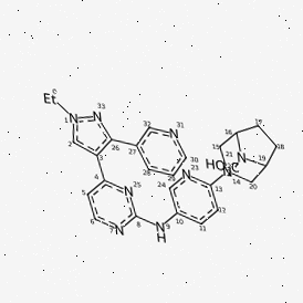 CCn1cc(-c2ccnc(Nc3ccc(N4CC5CCC(C4)N5C(=O)O)nc3)n2)c(-c2cccnc2)n1